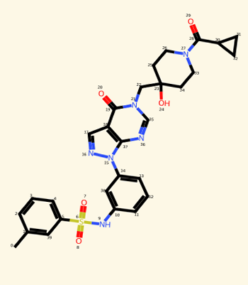 Cc1cccc(S(=O)(=O)Nc2cccc(-n3ncc4c(=O)n(CC5(O)CCN(C(=O)C6CC6)CC5)cnc43)c2)c1